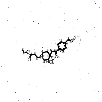 CCOC(=O)CCN1CCC2(CC1)CC(c1ccc(C=NN)cc1)=NO2.Cl